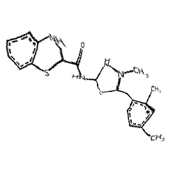 Cc1ccc(C2OC(NC(=O)C3Nc4ccccc4S3)NN2C)c(C)c1